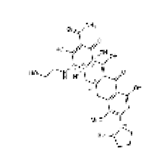 CCN1CCC[C@H]1c1cc(O)c2c(c1OC)C[C@H]1C[C@H]3[C@H](NCCO)C(O)=C(C(N)=O)C(=O)[C@@]3(O)C(O)=C1C2=O